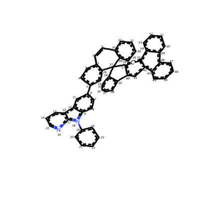 C1=Cc2ccc(-c3ccc4c(c3)c3cccnc3n4-c3ccccc3)cc2C2(c3ccccc31)c1ccccc1-c1cc3c4ccccc4c4ccccc4c3cc12